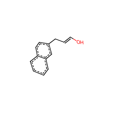 OC=CCc1ccc2ccccc2c1